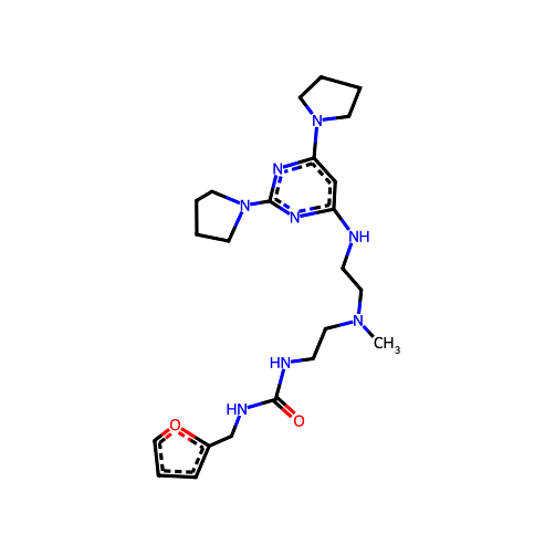 CN(CCNC(=O)NCc1ccco1)CCNc1cc(N2CCCC2)nc(N2CCCC2)n1